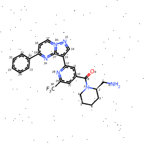 NC[C@H]1CCCCN1C(=O)c1cc(-c2cnn3ccc(-c4ccccc4)nc23)nc(C(F)(F)F)c1